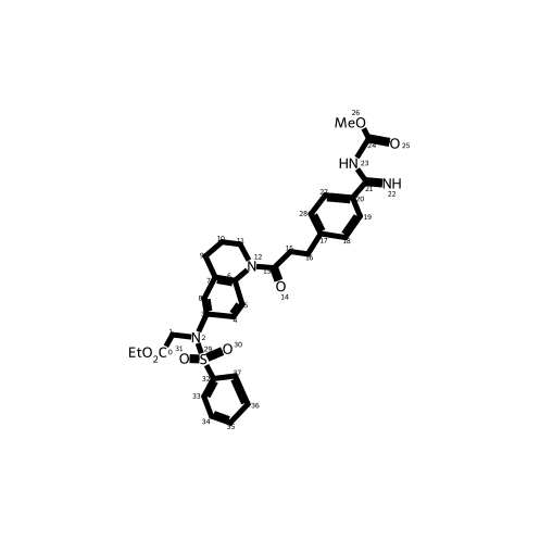 CCOC(=O)CN(c1ccc2c(c1)CCCN2C(=O)CCc1ccc(C(=N)NC(=O)OC)cc1)S(=O)(=O)c1ccccc1